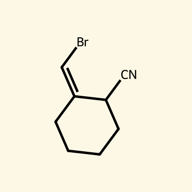 N#CC1CCCC/C1=C/Br